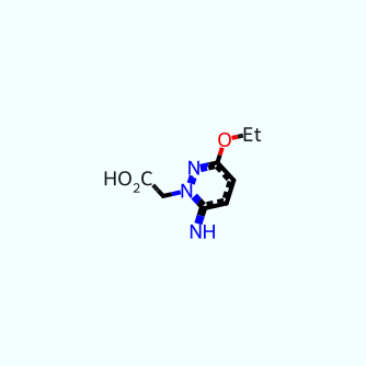 CCOc1ccc(=N)n(CC(=O)O)n1